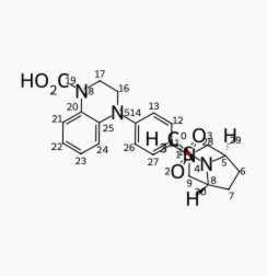 CS(=O)(=O)N1[C@@H]2CC[C@@H]1CN(c1ccc(N3CCN(C(=O)O)c4ccccc43)cc1)C2